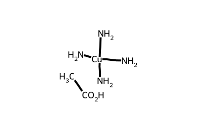 CC(=O)O.[NH2][Cu]([NH2])([NH2])[NH2]